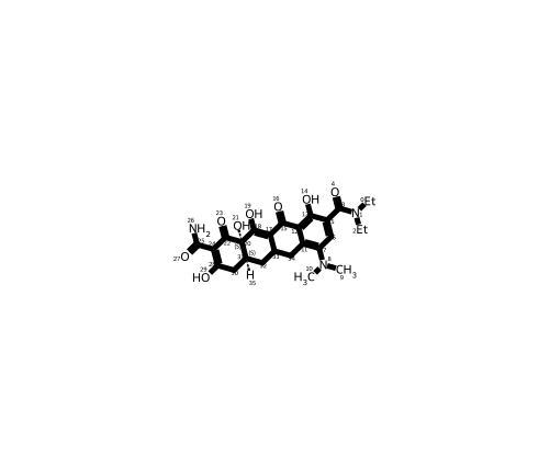 CCN(CC)C(=O)c1cc(N(C)C)c2c(c1O)C(=O)C1=C(O)[C@]3(O)C(=O)C(C(N)=O)=C(O)C[C@@H]3CC1C2